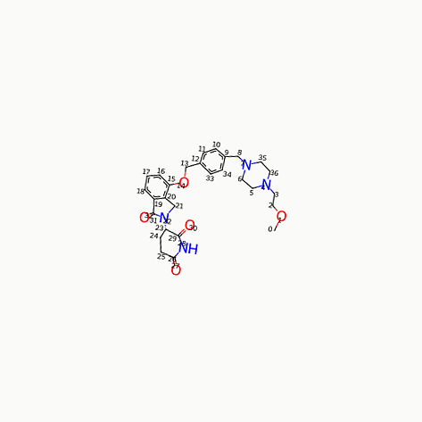 COCCN1CCN(Cc2ccc(COc3cccc4c3CN([C@H]3CCC(=O)NC3=O)C4=O)cc2)CC1